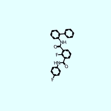 O=C(Nc1ccc(F)cc1)c1cccc(C(=O)Nc2ccccc2-c2ccccc2)c1F